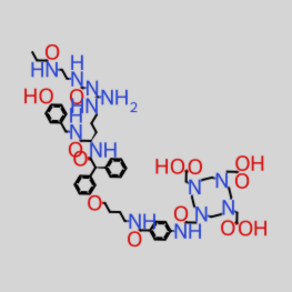 CCC(=O)NCCNC(=O)/N=C(/N)NCCC[C@@H](NC(=O)[C@@H](c1ccccc1)c1cccc(OCCCCNC(=O)c2ccc(NC(=O)CN3CCN(CC(=O)O)CCN(CC(=O)O)CCN(CC(=O)O)CC3)cc2)c1)C(=O)NCc1ccc(O)cc1